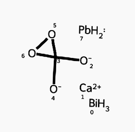 [BiH3].[Ca+2].[O-]C1([O-])OO1.[PbH2]